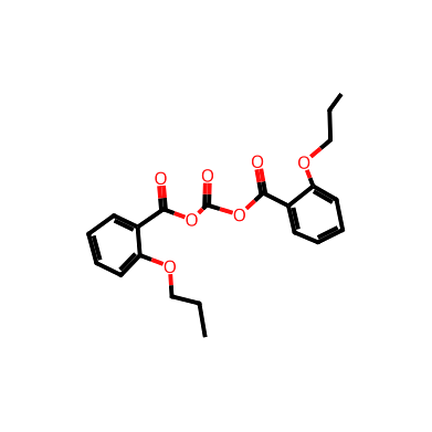 CCCOc1ccccc1C(=O)OC(=O)OC(=O)c1ccccc1OCCC